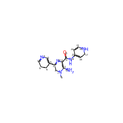 CN1CC(C2=CN=CCC2)=NC(C(=O)NC2=CCNC=C2)=C1N